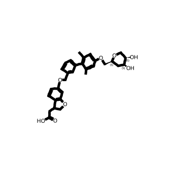 Cc1cc(OC[C@@H]2C[C@H](O)[C@@H](O)CO2)cc(C)c1-c1cccc(COc2ccc3c(c2)OCC3CC(=O)O)c1